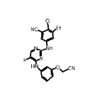 CCc1cc(Nc2ncc(F)c(Nc3cccc(OCC#N)c3)n2)cc(C#N)c1Cl